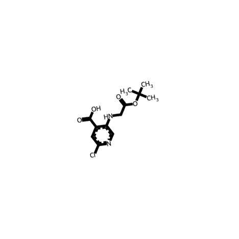 CC(C)(C)OC(=O)CNc1cnc(Cl)cc1C(=O)O